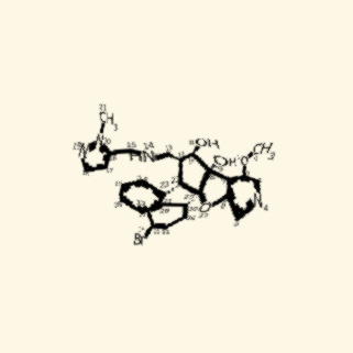 COc1cncc2c1[C@]1(O)[C@H](O)[C@H](CNCc3ccnn3C)[C@@H](c3ccccc3)[C@]1(C1C=CC(Br)=CC1)O2